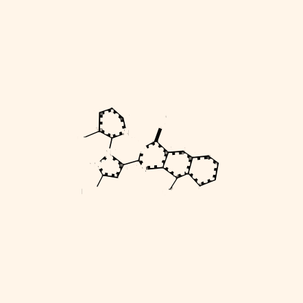 Cc1cc(-c2nc3c(Cl)c4ccccc4cc3c(=O)o2)n(-c2ncccc2Cl)n1